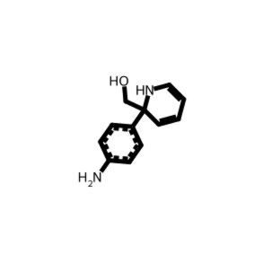 Nc1ccc(C2(CO)C=CC=CN2)cc1